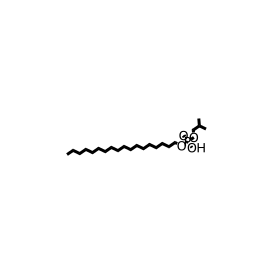 CCCCCCCCCCCCCCCCCCOP(=O)(O)OCC(C)C